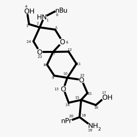 CCCCNC1(CO)COC2(CCC3(CC2)OCC(CO)(C(N)CCC)CO3)OC1